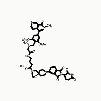 COc1cc(-c2cn(C)c(=O)c3cnccc23)cc(OC)c1CN(C)CC(=O)NCCCC(OC=O)N1CCOC2(CCN(c3ccc4c(c3)C(=O)N(C3CCC(=O)NC3=O)C4=O)CC2)C1